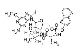 COc1nc(N)nc2c1nc(I)n2C1O[C@H](COP(=O)(N[C@@H](C)C(=O)OCC(C)(C)C)Oc2ccc3ncccc3c2)[C@@H](O)[C@@]1(C)O